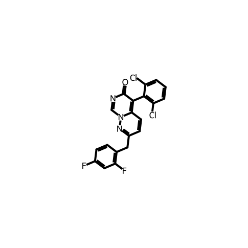 O=c1ncn2nc(Cc3ccc(F)cc3F)ccc2c1-c1c(Cl)cccc1Cl